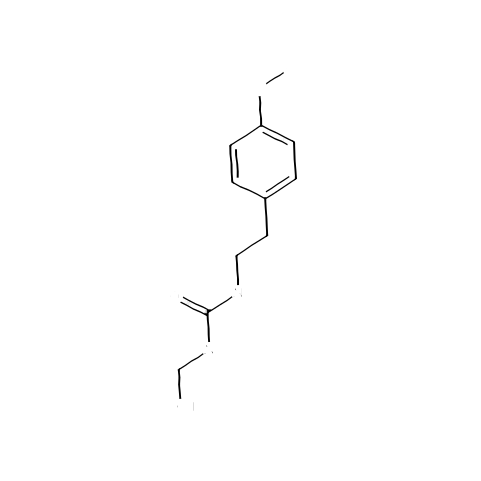 CCNC(=O)NCCc1ccc(OC)cc1